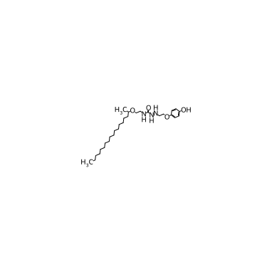 CCCCCCCCCCCCCCCCC(C)OCCNC(=O)NNCCOc1ccc(O)cc1